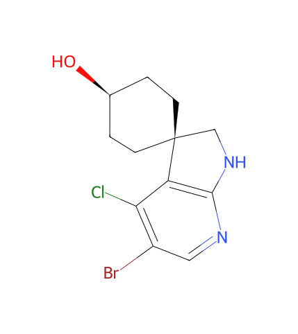 O[C@H]1CC[C@@]2(CC1)CNc1ncc(Br)c(Cl)c12